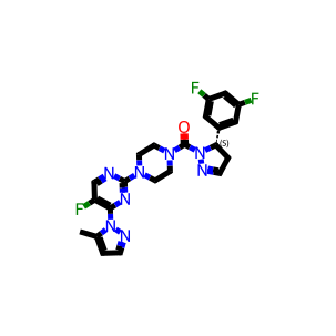 Cc1ccnn1-c1nc(N2CCN(C(=O)N3N=CC[C@H]3c3cc(F)cc(F)c3)CC2)ncc1F